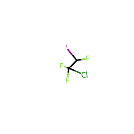 FC(I)C(F)(F)Cl